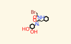 CN(C(=O)[C@H](Cc1ccccc1)NC(=O)CBr)c1ccc(O)c(O)c1